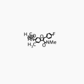 CNC(=O)c1c(-c2ccc(F)cc2)oc2cc(NS(C)(=O)=O)c(C)cc12